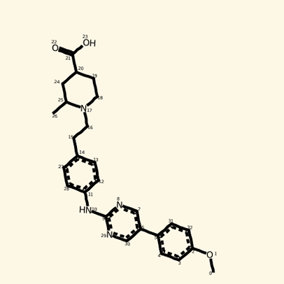 COc1ccc(-c2cnc(Nc3ccc(CCN4CCC(C(=O)O)CC4C)cc3)nc2)cc1